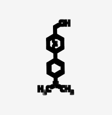 CN(C)c1ccc(C23CCC(CO)(CC2)CC3)cc1